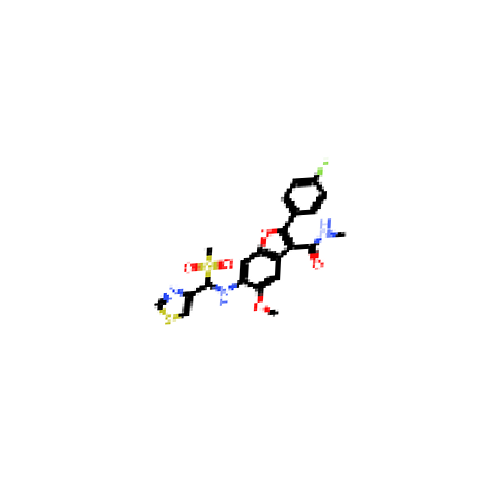 CNC(=O)c1c(-c2ccc(F)cc2)oc2cc(NC(c3cscn3)S(C)(=O)=O)c(OC)cc12